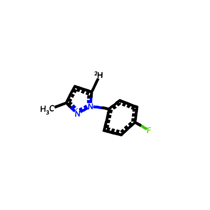 [2H]c1cc(C)nn1-c1ccc(F)cc1